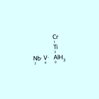 [AlH3].[Cr].[Nb].[Ti].[V]